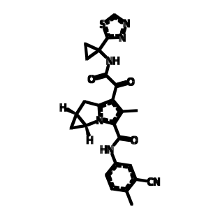 Cc1ccc(NC(=O)c2c(C)c(C(=O)C(=O)NC3(c4nncs4)CC3)c3n2[C@@H]2C[C@@H]2C3)cc1C#N